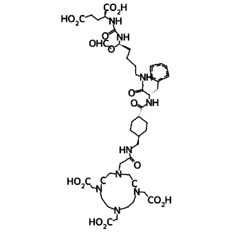 O=CO[C@H](CCCCNC(=O)[C@H](Cc1ccccc1)NC(=O)[C@H]1CC[C@H](CNC(=O)CN2CCN(CC(=O)O)CCN(CC(=O)O)CCN(CC(=O)O)CC2)CC1)NC(=O)N[C@@H](CCC(=O)O)C(=O)O